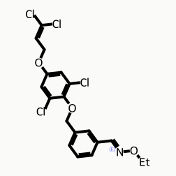 CCO/N=C/c1cccc(COc2c(Cl)cc(OCC=C(Cl)Cl)cc2Cl)c1